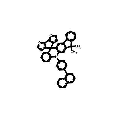 CC1(C)c2ccccc2-c2cc3c(cc21)N(c1ccc(-c2cccc4ccccc24)cc1)c1ccccc1C31c2ccoc2-c2occc21